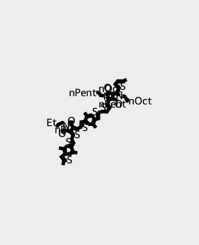 CCCCCCCCC(CCCCC)CN1C(=O)C2=C(c3ccc(-c4cc5c(C)c6sc(-c7sc(-c8cc9c(C)c%10sc(C)cc%10c(C)c9s8)c8c7C(=O)N(CC(CC)CCCC)C8=O)cc6c(C)c5s4)s3)N(CC(CCCCC)CCCCCCCC)C(=O)C2=C1c1ccc(C)s1